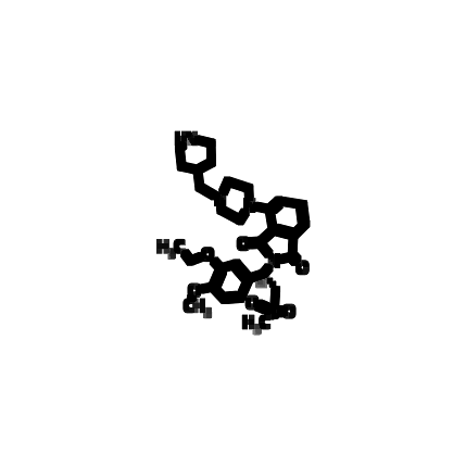 CCOc1cc([C@@H](CS(C)(=O)=O)N2C(=O)c3cccc(N4CCN(CC5CCNCC5)CC4)c3C2=O)ccc1OC